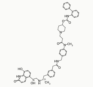 C[C@@H](Cc1cccc(CC(=O)NCc2ccc(N(C)C(=O)CCN3CCC(OC(=O)Nc4ccccc4-c4ccccc4)CC3)cc2)c1)NC[C@H](O)c1ccc(O)c2[nH]c(=O)ccc12